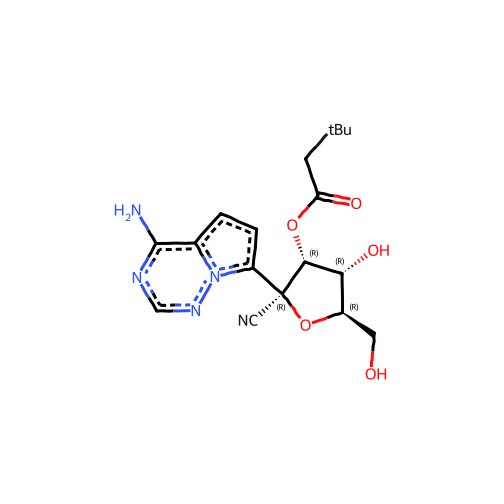 CC(C)(C)CC(=O)O[C@@H]1[C@H](O)[C@@H](CO)O[C@@]1(C#N)c1ccc2c(N)ncnn12